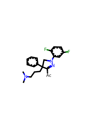 CC(=O)C1=NN(c2cc(F)ccc2F)CC1(CCCN(C)C)c1ccccc1